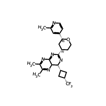 CC1=NC2=NC([C@H]3CCO[C@@H](c4ccnc(C)c4)C3)=NC([C@H]3C[C@@H](C(F)(F)F)C3)C2N=C1C